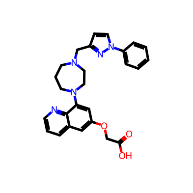 O=C(O)COc1cc(N2CCCN(Cc3ccn(-c4ccccc4)n3)CC2)c2ncccc2c1